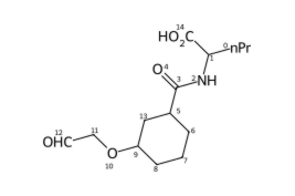 CCCC(NC(=O)C1CCCC(OCC=O)C1)C(=O)O